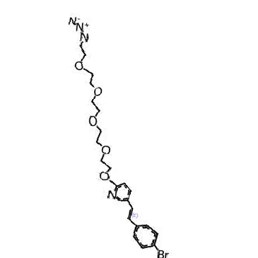 [N-]=[N+]=NCCOCCOCCOCCOCCOc1ccc(/C=C/c2ccc(Br)cc2)cn1